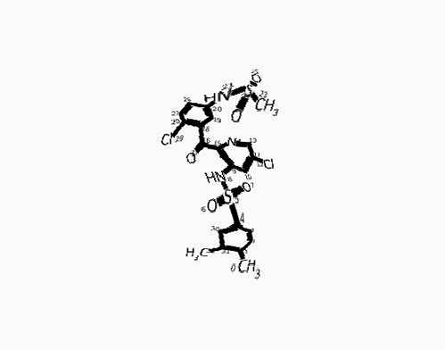 Cc1ccc(S(=O)(=O)Nc2cc(Cl)cnc2C(=O)c2cc(NS(C)(=O)=O)ccc2Cl)cc1C